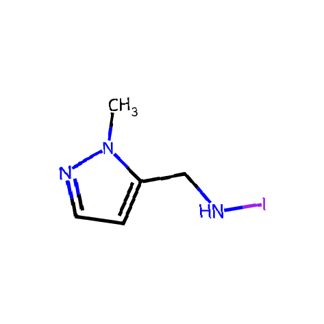 Cn1nccc1CNI